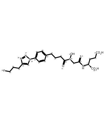 O=C(O)CC[C@H](NC(=S)CN(O)C(=O)CCCc1ccc(-n2cc(CCCF)nn2)cc1)C(=O)O